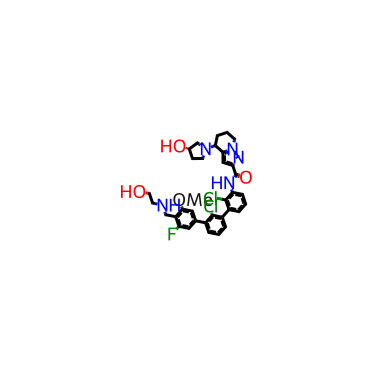 COc1cc(-c2cccc(-c3cccc(NC(=O)c4cc5n(n4)CCCC5N4CC[C@@H](O)C4)c3Cl)c2Cl)cc(F)c1CNCCO